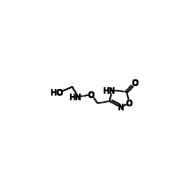 O=c1[nH]c(CONCO)no1